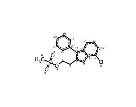 CS(=O)(=O)OCCc1cc2c(Cl)nccc2n1-c1ccccc1